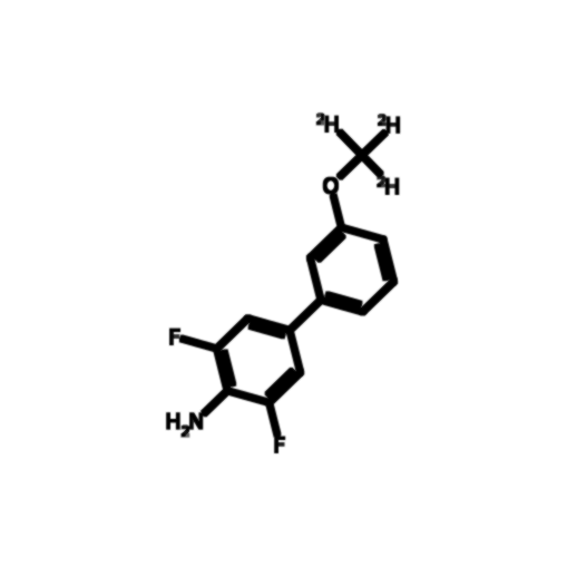 [2H]C([2H])([2H])Oc1cccc(-c2cc(F)c(N)c(F)c2)c1